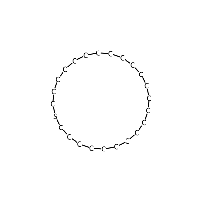 C1CCCCCCCCCCCSCCCCCCCCCCC1